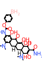 Bc1ccc(OC(=O)Nc2cc(N(C)C)c3c(c2O)C(=O)C2=C(O)[C@]4(O)C(=O)C(C(N)=O)=C(O)[C@@H](N(C)C)[C@@H]4C[C@@H]2C3)cc1